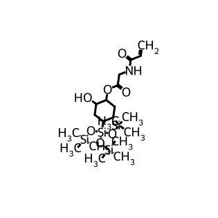 C=CC(=O)NCC(=O)OC1CCC([Si](O[Si](C)(C)C)(O[Si](C)(C)C)O[Si](C)(C)C)CC1O